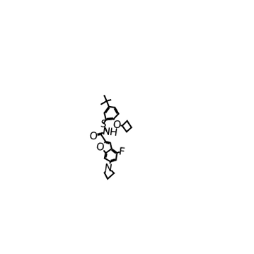 CC(C)(C)c1ccc(OC2CCC2)c(SNC(=O)c2cc3c(F)cc(N4CCC4)cc3o2)c1